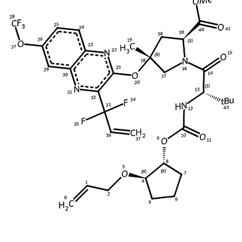 C=CCO[C@@H]1CCC[C@H]1OC(=O)N[C@H](C(=O)N1C[C@](C)(Oc2nc3ccc(OC(F)(F)F)cc3nc2C(F)(F)C=C)C[C@H]1C(=O)OC)C(C)(C)C